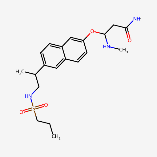 CCCS(=O)(=O)NCC(C)c1ccc2cc(OC(CC([NH])=O)NC)ccc2c1